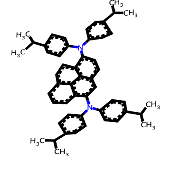 CC(C)c1ccc(N(c2ccc(C(C)C)cc2)c2cc3ccc(N(c4ccc(C(C)C)cc4)c4ccc(C(C)C)cc4)c4ccc5cccc2c5c34)cc1